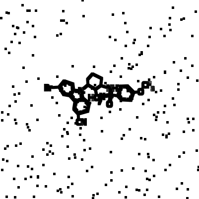 CN=S(=O)(NC1CCCC(n2c3ccc(Br)cc3c3cc(C#N)ccc32)C1O)c1ccc(OC(F)(F)F)cc1